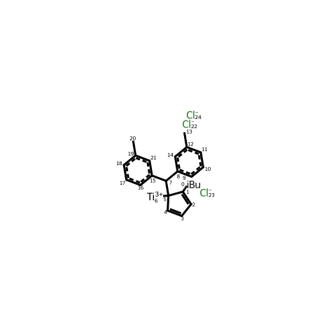 CCC(C)C1=CC=C[C]1([Ti+3])C(c1cccc(C)c1)c1cccc(C)c1.[Cl-].[Cl-].[Cl-]